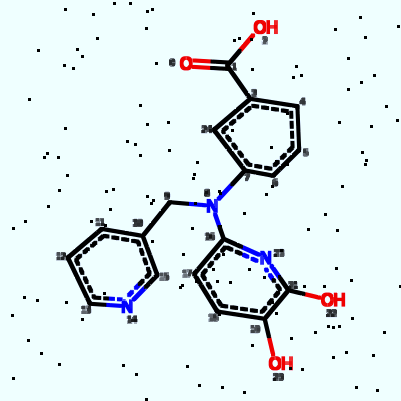 O=C(O)c1cccc(N(Cc2cccnc2)c2ccc(O)c(O)n2)c1